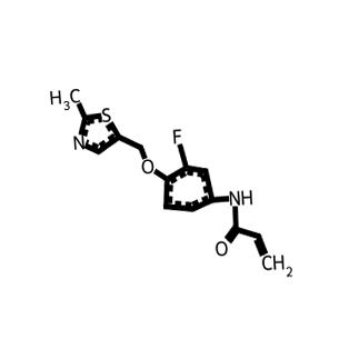 C=CC(=O)Nc1ccc(OCc2cnc(C)s2)c(F)c1